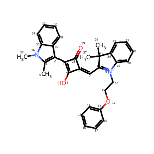 Cc1c(C2=C(O)/C(=C/C3=[N+](CCOc4ccccc4)c4ccccc4C3(C)C)C2=O)c2ccccc2n1C